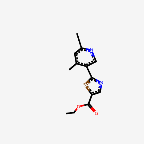 CCOC(=O)c1cnc(-c2cnc(C)cc2C)s1